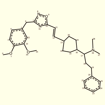 COc1ccc(Cc2noc(C=CC3CCC(C(CCc4ccccc4)N(C)C)CC3)n2)cc1OC